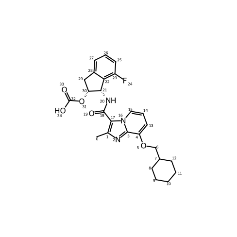 Cc1nc2c(OCC3CCCCC3)cccn2c1C(=O)N[C@H]1c2c(F)cccc2C[C@H]1OC(=O)O